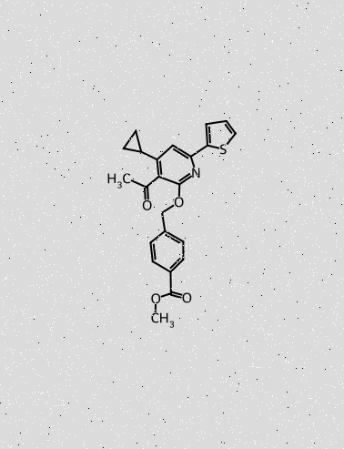 COC(=O)c1ccc(COc2nc(-c3cccs3)cc(C3CC3)c2C(C)=O)cc1